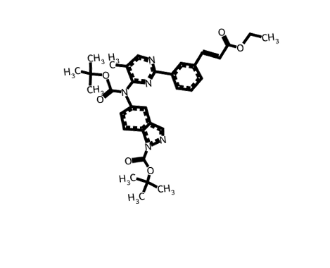 CCOC(=O)C=Cc1cccc(-c2ncc(C)c(N(C(=O)OC(C)(C)C)c3ccc4c(cnn4C(=O)OC(C)(C)C)c3)n2)c1